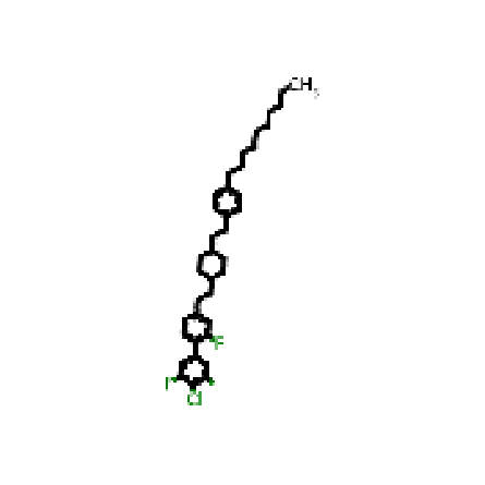 CCCCCCCCCCc1ccc(CCC2CCC(CCc3ccc(-c4cc(F)c(Cl)c(F)c4)c(F)c3)CC2)cc1